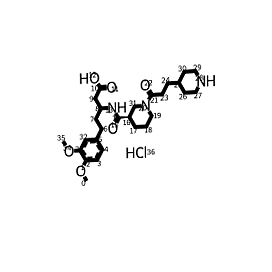 COc1ccc(CCC(CC(=O)O)NC(=O)[C@@H]2CCCN(C(=O)CCC3CCNCC3)C2)cc1OC.Cl